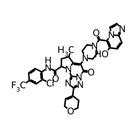 CC1CC(C(=O)Nc2ccc(C(F)(F)F)cc2Cl)n2c1c(N1CCN(C(=O)c3c(O)ccc4nccn34)CC1)c(=O)n1nc(C3=CCOCC3)nc21